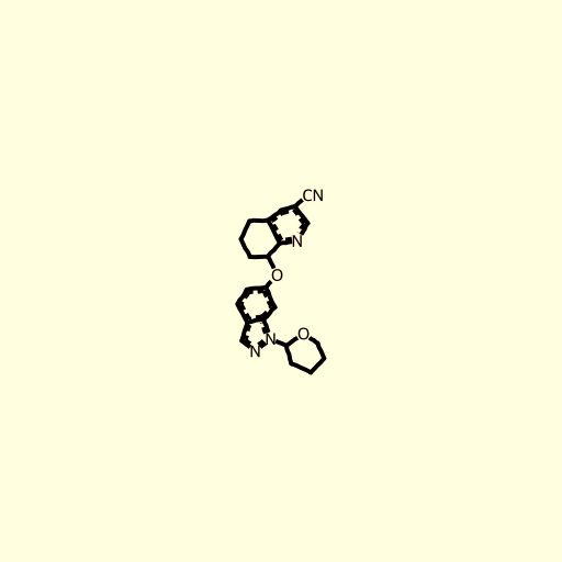 N#Cc1cnc2c(c1)CCCC2Oc1ccc2cnn(C3CCCCO3)c2c1